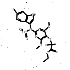 CCOC(=O)C(F)(F)Oc1c(OC)nc(N(c2c[nH]c3cc(Cl)ccc23)[SH](=O)=O)nc1OC